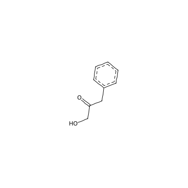 O=C(CO)Cc1ccccc1